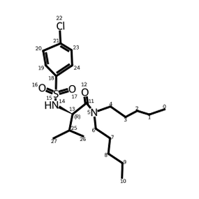 CCCCCN(CCCCC)C(=O)[C@H](NS(=O)(=O)c1ccc(Cl)cc1)C(C)C